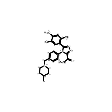 CNC(=O)c1nnc(-c2cc(C(C)C)c(OC)cc2O)n1-c1ccc(CN2CCC(C)CC2)cc1